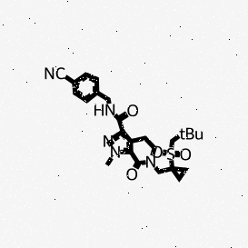 Cn1nc(C(=O)NCc2ccc(C#N)cc2)c2c1C(=O)N(CC1(S(=O)(=O)CC(C)(C)C)CC1)CC2